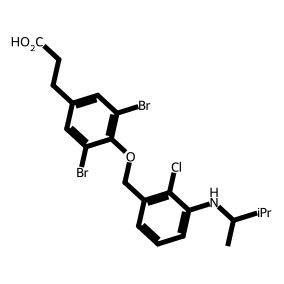 CC(C)C(C)Nc1cccc(COc2c(Br)cc(CCC(=O)O)cc2Br)c1Cl